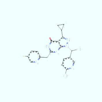 CC(c1ccc(C(F)(F)F)nc1)n1nc(C2CC2)c2c(=O)[nH]c(Cc3ccc(F)cn3)nc21